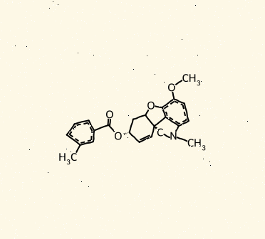 COc1ccc2c3c1OC1C[C@@H](OC(=O)c4cccc(C)c4)C=C[C@@]31CCN2C